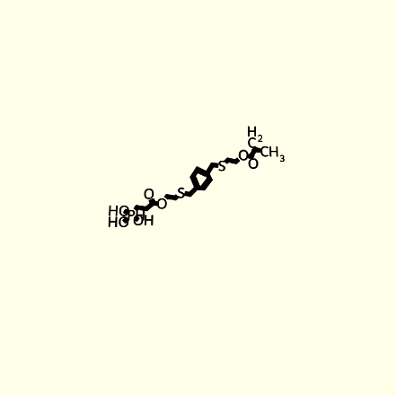 C=C(C)C(=O)OCCSCc1ccc(CSCCOC(=O)CC[PH](O)(O)O)cc1